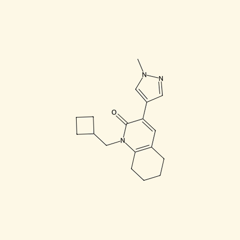 Cn1cc(-c2cc3c(n(CC4CCC4)c2=O)CCCC3)cn1